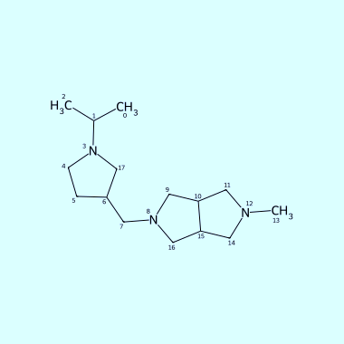 CC(C)N1CCC(CN2CC3CN(C)CC3C2)C1